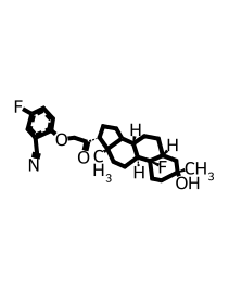 C[C@@]1(O)CC[C@@]2(F)[C@H](CC[C@H]3C4CC[C@@H](C(=O)COc5ccc(F)cc5C#N)[C@@]4(C)CC[C@@H]32)C1